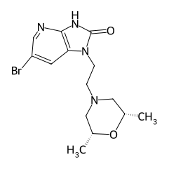 C[C@@H]1CN(CCn2c(=O)[nH]c3ncc(Br)cc32)C[C@H](C)O1